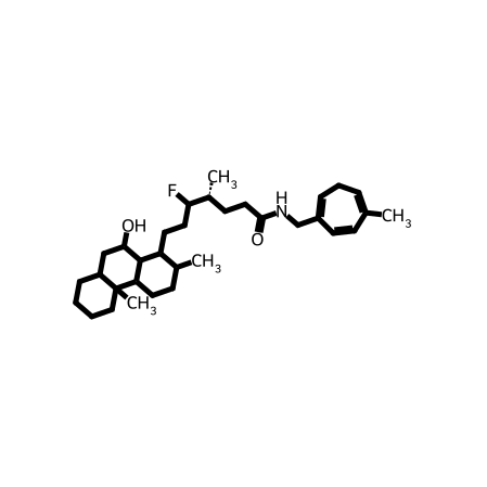 CC1=CCC=C(CNC(=O)CC[C@@H](C)C(F)CCC2C(C)CCC3C2C(O)CC2CCCCC23C)C=C1